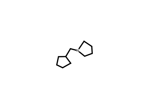 C1CCC(CN2CCCC2)C1